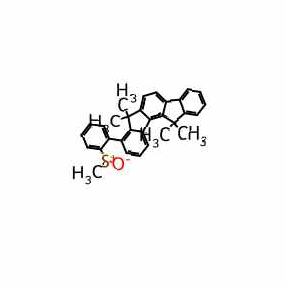 C[S+]([O-])c1ccccc1-c1cccc2c1C(C)(C)c1ccc3c(c1-2)C(C)(C)c1ccccc1-3